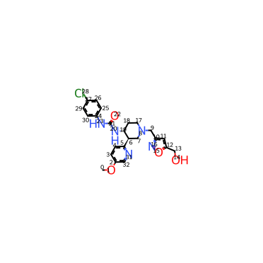 COc1ccc([C@@H]2CN(Cc3cc(CO)on3)CC[C@H]2NC(=O)Nc2ccc(Cl)cc2)nc1